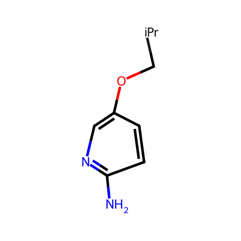 CC(C)COc1ccc(N)nc1